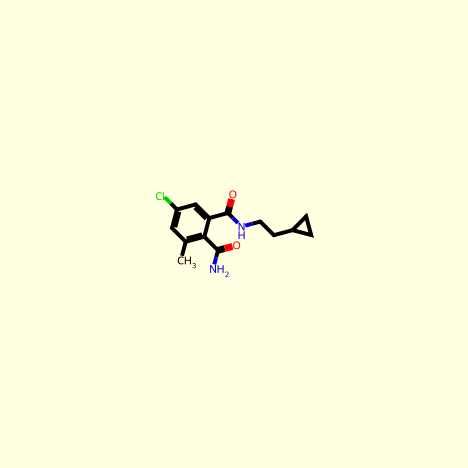 Cc1cc(Cl)cc(C(=O)NCCC2CC2)c1C(N)=O